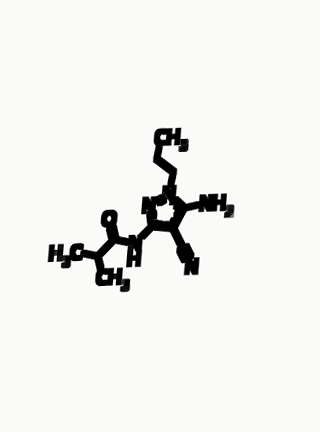 CCCn1nc(NC(=O)C(C)C)c(C#N)c1N